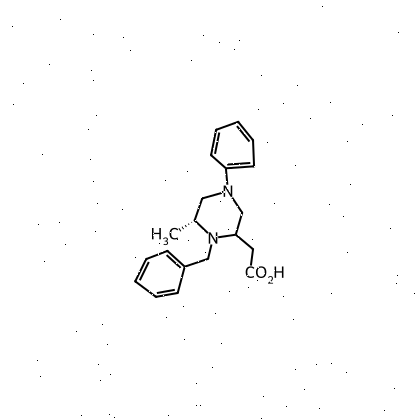 C[C@@H]1CN(c2ccccc2)CC(CC(=O)O)N1Cc1ccccc1